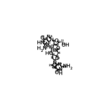 Nc1nc2c(ncn2[C@@H]2O[C@H](CO)[C@@H](ONC[C@H]3O[C@@H](n4cnc5c(=O)[nH]c(N)nc54)C[C@@H]3O)[C@@H]2O)c(=O)[nH]1